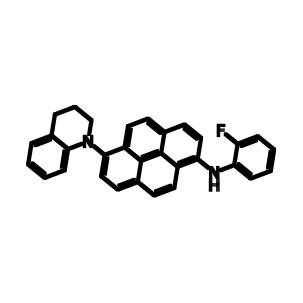 Fc1ccccc1Nc1ccc2ccc3c(N4CCCc5ccccc54)ccc4ccc1c2c43